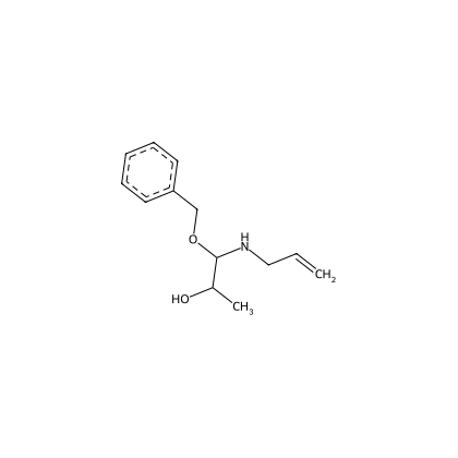 C=CCNC(OCc1ccccc1)C(C)O